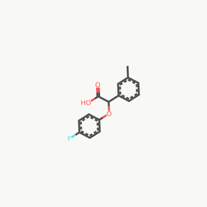 Cc1cccc(C(Oc2ccc(F)cc2)C(=O)O)c1